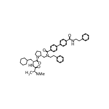 CN[C@@H](C)C(=O)N[C@@H](CC1CCCCC1)C(=O)N1CCC[C@H]1CN(CCc1ccccc1)C(=O)c1ccc(-c2ccc(C(=O)NCCc3ccccc3)cc2)cc1